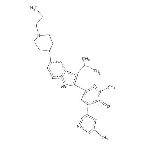 CCCN1CCC(c2ccc3[nH]c(-c4cc(-c5cncc(C)c5)c(=O)n(C)c4)c(C(C)C)c3c2)CC1